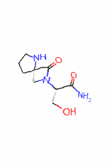 NC(=O)[C@H](CO)N1C[C@@]2(CCCN2)C1=O